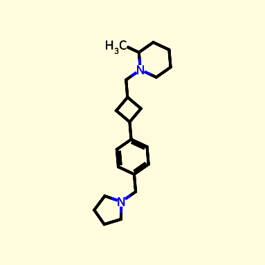 CC1CCCCN1CC1CC(c2ccc(CN3CCCC3)cc2)C1